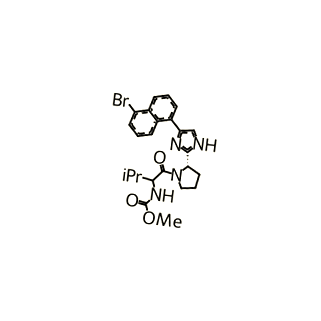 COC(=O)NC(C(=O)N1CCC[C@H]1c1nc(-c2cccc3c(Br)cccc23)c[nH]1)C(C)C